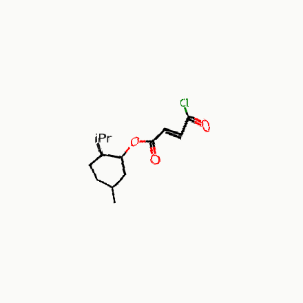 CC1CCC(C(C)C)C(OC(=O)C=CC(=O)Cl)C1